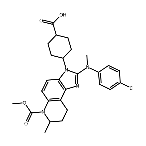 COC(=O)N1c2ccc3c(nc(N(C)c4ccc(Cl)cc4)n3C3CCC(C(=O)O)CC3)c2CCC1C